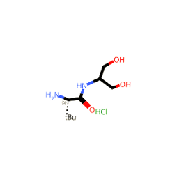 CC(C)(C)[C@H](N)C(=O)NC(CO)CO.Cl